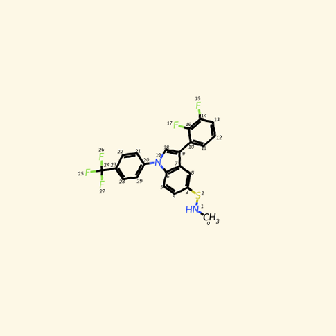 CNSc1ccc2c(c1)c(-c1cccc(F)c1F)cn2-c1ccc(C(F)(F)F)cc1